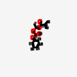 C=C(C)C(=O)OC(C)OC(=O)Oc1ccccc1